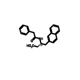 O=C(O)C[C@@H](Cc1ccc2ccccc2c1)NC(=O)Cc1ccccc1